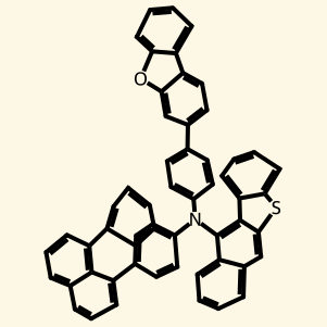 c1ccc(-c2cccc3cccc(-c4ccc(N(c5ccc(-c6ccc7c(c6)oc6ccccc67)cc5)c5c6ccccc6cc6sc7ccccc7c56)cc4)c23)cc1